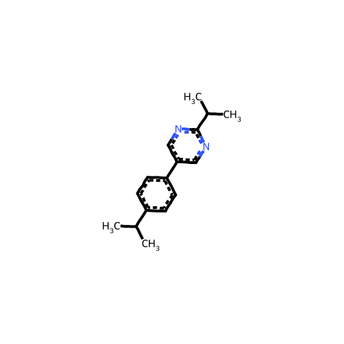 CC(C)c1ccc(-c2cnc(C(C)C)nc2)cc1